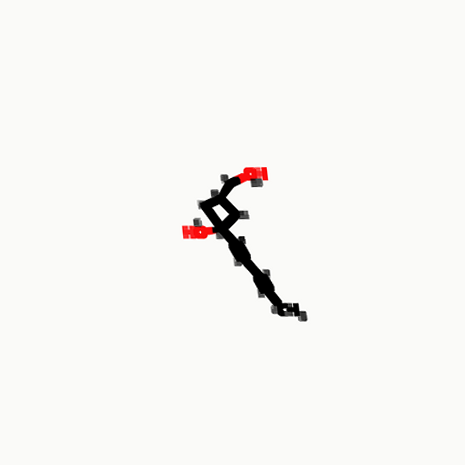 CC#CC#C[C@]1(O)C[C@@H](CO)C1